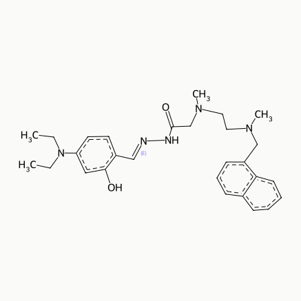 CCN(CC)c1ccc(/C=N/NC(=O)CN(C)CCN(C)Cc2cccc3ccccc23)c(O)c1